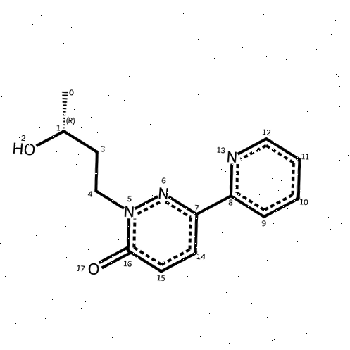 C[C@@H](O)CCn1nc(-c2ccccn2)ccc1=O